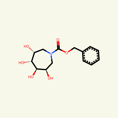 O=C(OCc1ccccc1)N1C[C@@H](O)[C@@H](O)[C@H](O)[C@H](O)C1